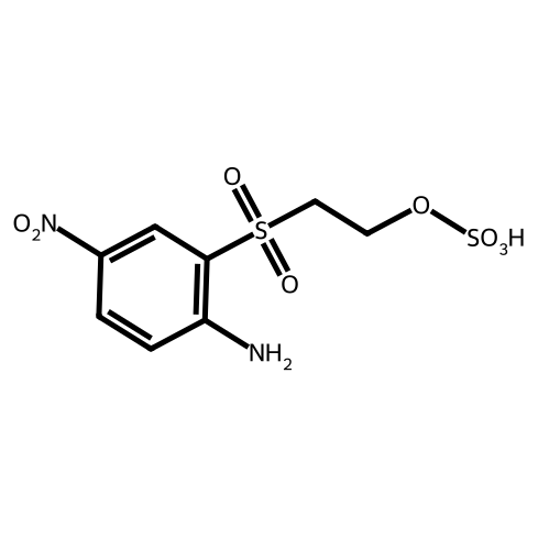 Nc1ccc([N+](=O)[O-])cc1S(=O)(=O)CCOS(=O)(=O)O